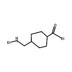 CCNCC1CCC(C(=O)CC)CC1